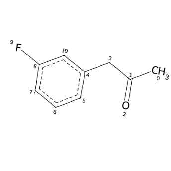 CC(=O)Cc1cc[c]c(F)c1